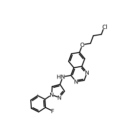 Fc1ccc[c]c1-n1cc(Nc2ncnc3cc(OCCCCl)ccc23)cn1